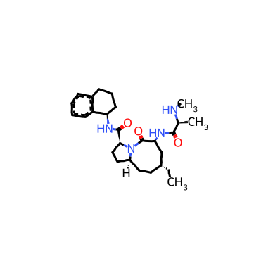 CC[C@@H]1CC[C@H]2CC[C@@H](C(=O)N[C@@H]3CCCc4ccccc43)N2C(=O)[C@@H](NC(=O)[C@H](C)NC)C1